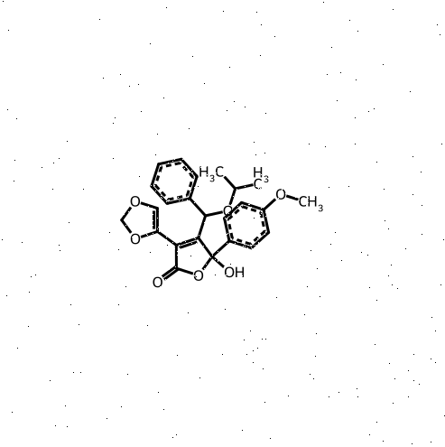 COc1ccc(C2(O)OC(=O)C(C3=COCO3)=C2C(OC(C)C)c2ccccc2)cc1